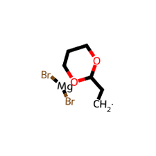 [Br][Mg][Br].[CH2]CC1OCCCO1